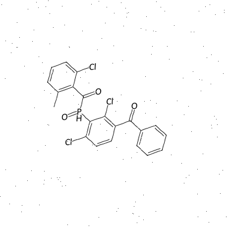 Cc1cccc(Cl)c1C(=O)[PH](=O)c1c(Cl)ccc(C(=O)c2ccccc2)c1Cl